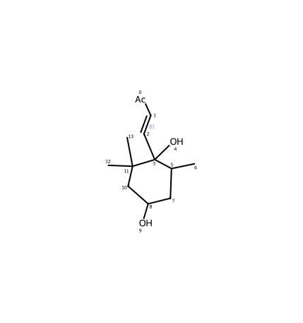 CC(=O)/C=C/C1(O)C(C)CC(O)CC1(C)C